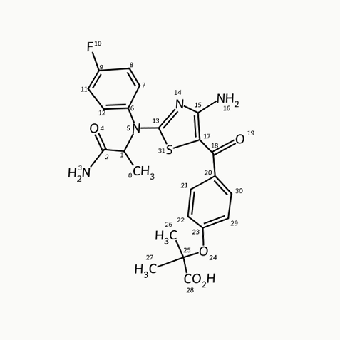 CC(C(N)=O)N(c1ccc(F)cc1)c1nc(N)c(C(=O)c2ccc(OC(C)(C)C(=O)O)cc2)s1